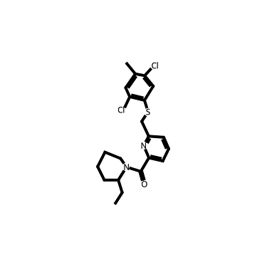 CCC1CCCCN1C(=O)c1cccc(CSc2cc(Cl)c(C)cc2Cl)n1